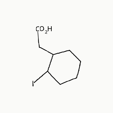 O=C(O)CC1CCCCC1I